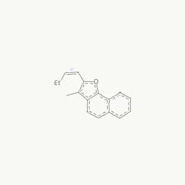 CC/C=C\c1oc2c(ccc3ccccc32)c1C